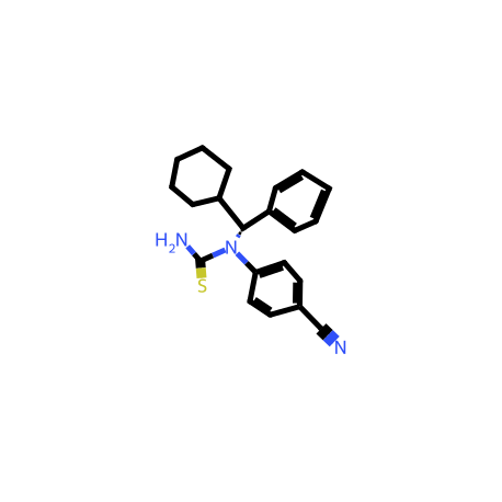 N#Cc1ccc(N(C(N)=S)[C@@H](c2ccccc2)C2CCCCC2)cc1